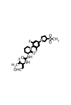 C=C(F)/C(=C\C=O)NC(=O)N[C@@H]1CCCN(c2c(F)cc(N3CCC(S(C)(=O)=O)C3)cc2F)C1=O